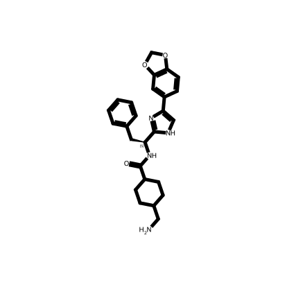 NCC1CCC(C(=O)N[C@@H](Cc2ccccc2)c2nc(-c3ccc4c(c3)OCO4)c[nH]2)CC1